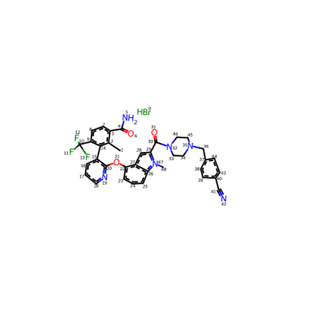 Br.Cc1c(C(N)=O)ccc(C(F)(F)F)c1-c1cccnc1Oc1cccc2c1cc(C(=O)N1CCN(Cc3ccc(C#N)cc3)CC1)n2C